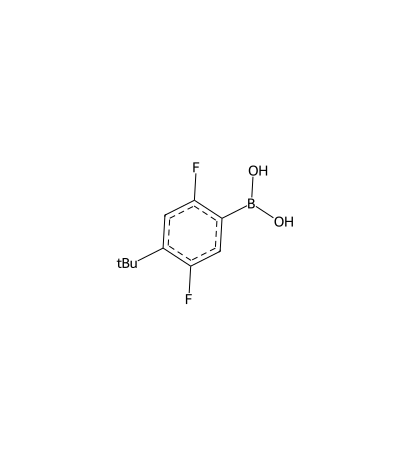 CC(C)(C)c1cc(F)c(B(O)O)cc1F